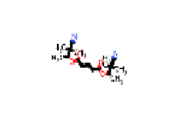 CC(OC(=O)CCCC(=O)OC(C)C(C)(C)C#N)C(C)(C)C#N